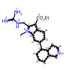 CCOC(=O)c1c(CNC(=N)N)n(C)c2cc(-c3cccc4cnccc34)ccc12